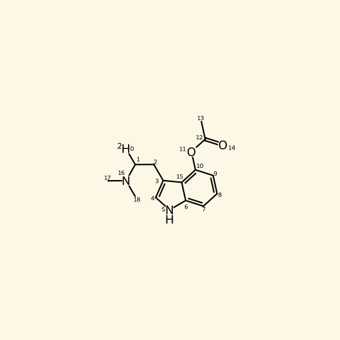 [2H]C(Cc1c[nH]c2cccc(OC(C)=O)c12)N(C)C